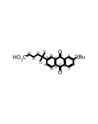 CC(C)(C)c1ccc2c(c1)C(=O)c1cc(C(C)(C)CCCC(=O)O)ccc1C2=O